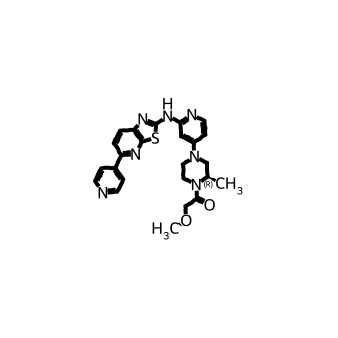 COCC(=O)N1CCN(c2ccnc(Nc3nc4ccc(-c5ccncc5)nc4s3)c2)C[C@H]1C